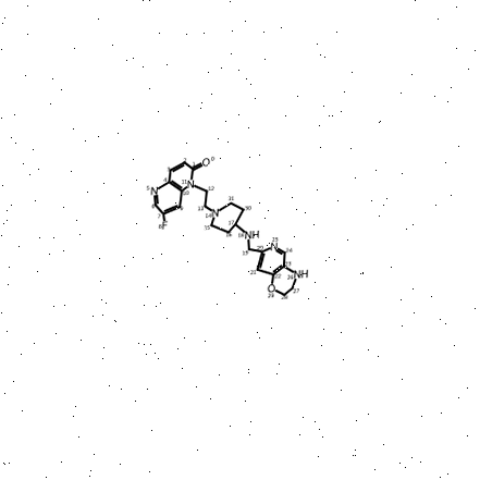 O=c1ccc2ncc(F)cc2n1CCN1CCC(NCc2cc3c(cn2)NCCO3)CC1